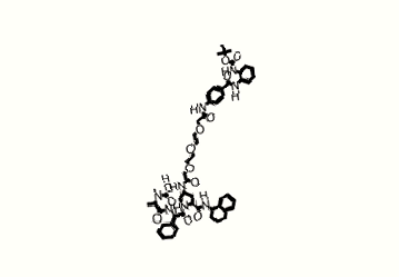 CC(C(=O)N[C@H](C(=O)N1C[C@@H](NC(=O)COCCOCCOCC(=O)Nc2ccc(C(=O)Nc3ccccc3NC(=O)OC(C)(C)C)cc2)C[C@H]1C(=O)N[C@@H]1CCCc2ccccc21)C1CCCCC1)N(C)C(=O)O